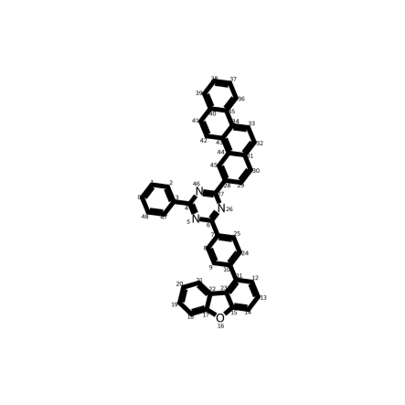 c1ccc(-c2nc(-c3ccc(-c4cccc5oc6ccccc6c45)cc3)nc(-c3ccc4ccc5c6ccccc6ccc5c4c3)n2)cc1